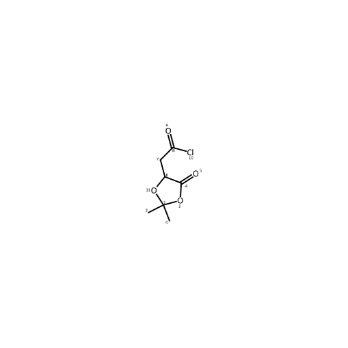 CC1(C)OC(=O)C(CC(=O)Cl)O1